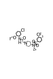 O=C(CN1CCC(N(C2CC2)S(=O)(=O)c2cccc(C(F)(F)F)c2)CC1)Nc1cc(Cl)ccc1OCI